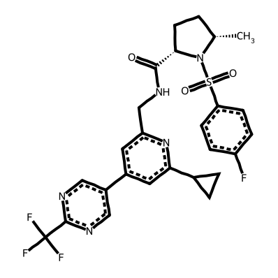 C[C@H]1CC[C@@H](C(=O)NCc2cc(-c3cnc(C(F)(F)F)nc3)cc(C3CC3)n2)N1S(=O)(=O)c1ccc(F)cc1